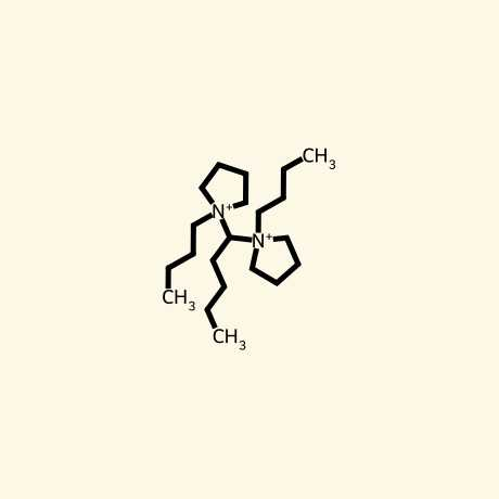 CCCCC([N+]1(CCCC)CCCC1)[N+]1(CCCC)CCCC1